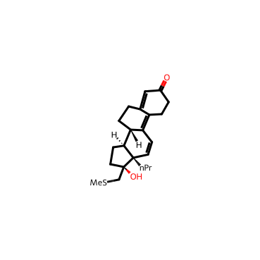 CCC[C@]12C=CC3=C4CCC(=O)C=C4CC[C@H]3[C@@H]1CC[C@@]2(O)CSC